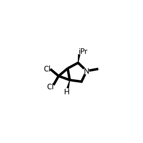 CC(C)[C@@H]1C2[C@H](CN1C)C2(Cl)Cl